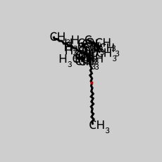 CCCCCCCCCCCCCCCCCCCCCCCCCC(=O)N[C@@H](CO[C@H]1OC(COC)[C@H](C)[C@H](C)C1C)[C@H](O[Si](C)(C)C(C)(C)C)[C@@H](CCCCCCCCCCCCCC)O[Si](C)(C)C(C)(C)C